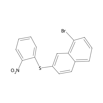 O=[N+]([O-])c1ccccc1Sc1ccc2cccc(Br)c2c1